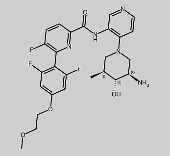 COCCOc1cc(F)c(-c2nc(C(=O)Nc3cnccc3N3C[C@@H](N)[C@H](O)[C@@H](C)C3)ccc2F)c(F)c1